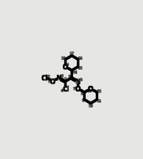 ClON=C(Cl)C(=NOC1CCCCO1)C1CCCCO1